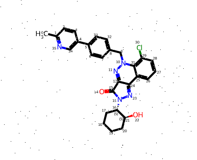 Cc1ccc(-c2ccc(Cn3nc4c(=O)n([C@H]5CCCC[C@@H]5O)nc-4c4cccc(Cl)c43)cc2)cn1